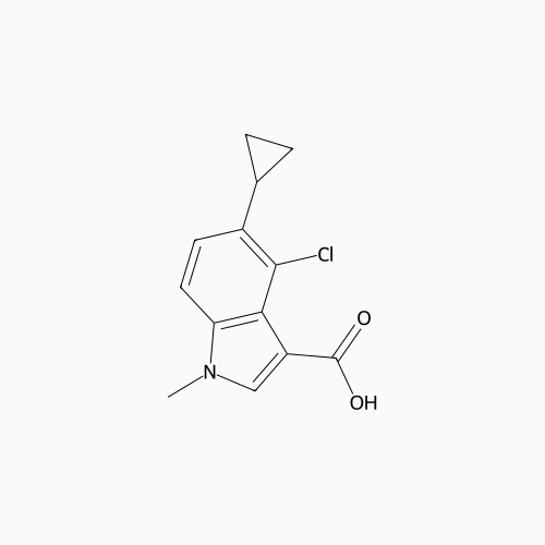 Cn1cc(C(=O)O)c2c(Cl)c(C3CC3)ccc21